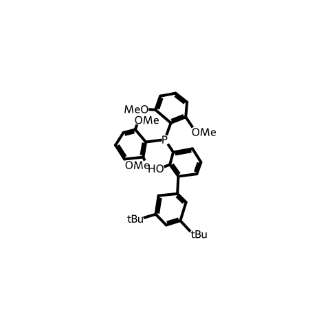 COc1cccc(OC)c1P(c1cccc(-c2cc(C(C)(C)C)cc(C(C)(C)C)c2)c1O)c1c(OC)cccc1OC